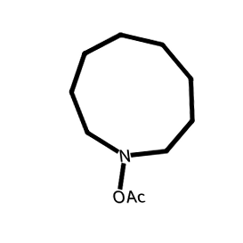 CC(=O)ON1CCCCCCCC1